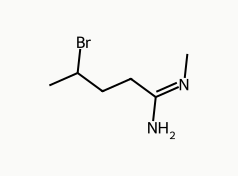 C/N=C(/N)CCC(C)Br